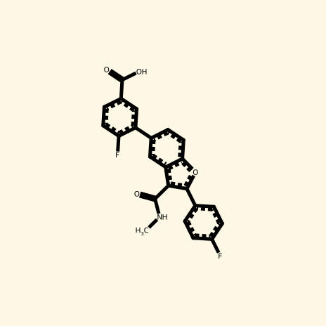 CNC(=O)c1c(-c2ccc(F)cc2)oc2ccc(-c3cc(C(=O)O)ccc3F)cc12